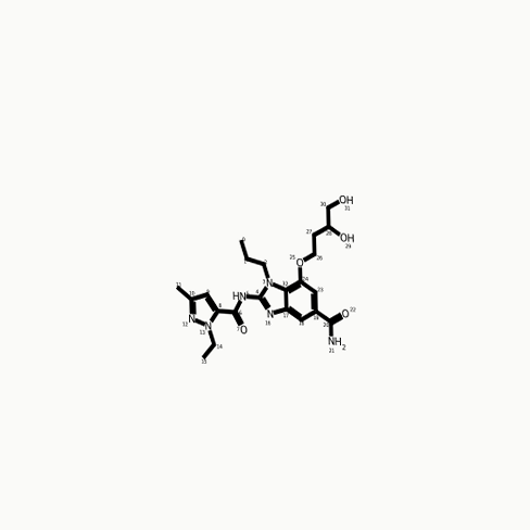 CCCn1c(NC(=O)c2cc(C)nn2CC)nc2cc(C(N)=O)cc(OCCC(O)CO)c21